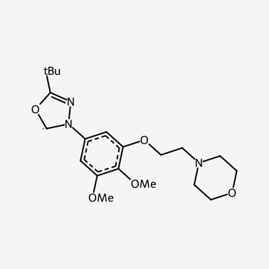 COc1cc(N2[CH]OC(C(C)(C)C)=N2)cc(OCCN2CCOCC2)c1OC